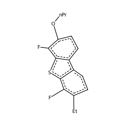 CCCOc1ccc2c(sc3c(F)c(CC)ccc32)c1F